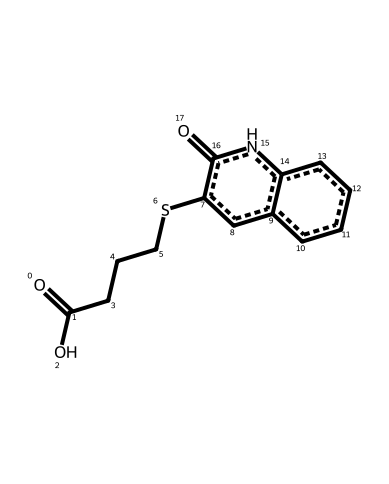 O=C(O)CCCSc1cc2ccccc2[nH]c1=O